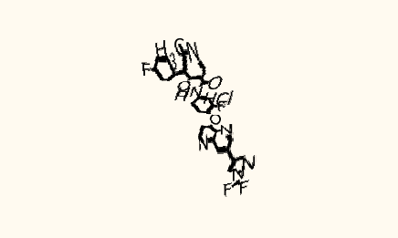 Cc1ncc(C(=O)Nc2ccc(Oc3ccnc4cc(-c5cnn(C(F)F)c5)cnc34)c(F)c2)c(O)c1-c1ccc(F)cc1.Cl